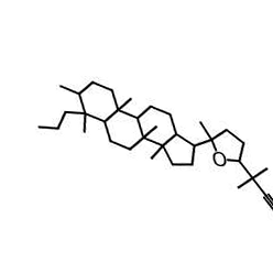 C#CC(C)(C)C1CCC(C)(C2CCC3(C)C2CCC2C4(C)CCC(C)C(C)(CCC)C4CCC23C)O1